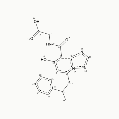 CC(Sc1cc(O)c(C(=O)NCC(=O)O)c2ncnn12)c1ccccc1